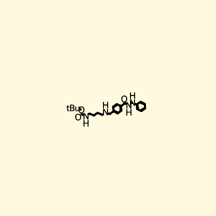 CC(C)(C)OC(=O)NCCCCNCc1ccc(C(=O)NNc2ccccc2)cc1